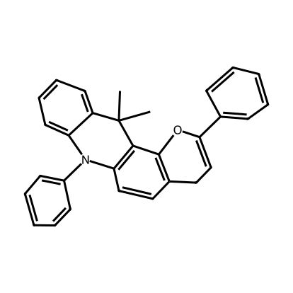 CC1(C)c2ccccc2N(c2ccccc2)c2ccc3c(c21)OC(c1ccccc1)=CC3